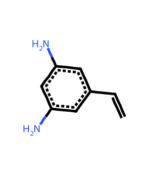 C=Cc1cc(N)cc(N)c1